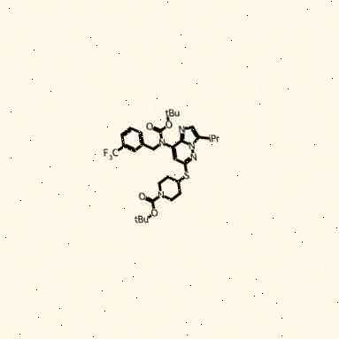 CC(C)c1cnc2c(N(Cc3cccc(C(F)(F)F)c3)C(=O)OC(C)(C)C)cc(SC3CCN(C(=O)OC(C)(C)C)CC3)nn12